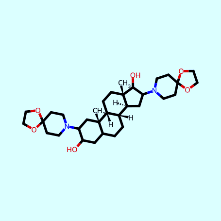 C[C@]12CC(N3CCC4(CC3)OCCO4)C(O)CC1CC[C@@H]1[C@H]2CC[C@]2(C)C(O)C(N3CCC4(CC3)OCCO4)C[C@@H]12